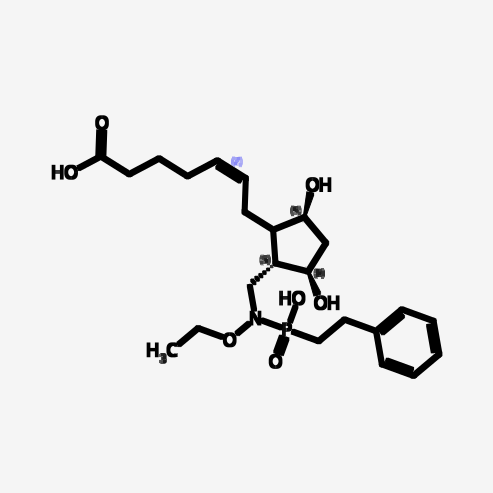 CCON(C[C@@H]1C(C/C=C\CCCC(=O)O)[C@@H](O)C[C@H]1O)P(=O)(O)CCc1ccccc1